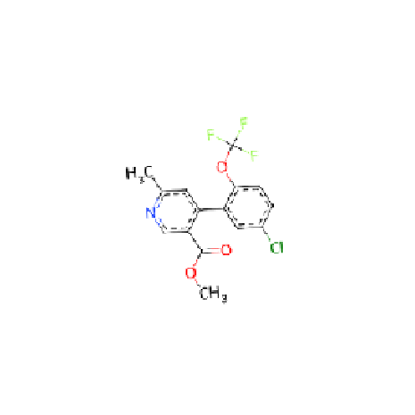 COC(=O)c1cnc(C)cc1-c1cc(Cl)ccc1OC(F)(F)F